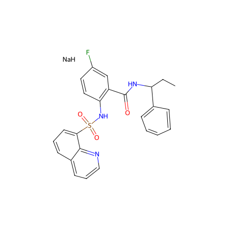 CCC(NC(=O)c1cc(F)ccc1NS(=O)(=O)c1cccc2cccnc12)c1ccccc1.[NaH]